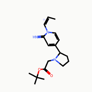 C/C=C\n1ccc(C2CCCN2CC(=O)OC(C)(C)C)cc1=N